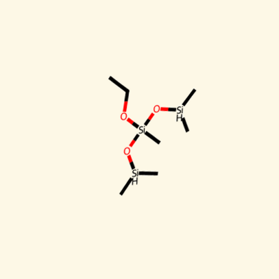 CCO[Si](C)(O[SiH](C)C)O[SiH](C)C